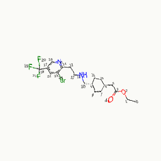 CCOC(=O)C[C@H]1CC[C@H](CNCCc2ncc(C(F)(F)F)cc2Br)CC1